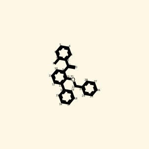 C=C(c1ccccc1C)c1cccc(-c2ccccc2)c1OCc1ccccc1